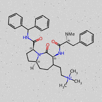 CN[C@H](Cc1ccccc1)C(=O)N[C@@H]1C(=O)N2[C@@H](CCC1CC[N+](C)(C)C)CC[C@H]2C(=O)NC(c1ccccc1)c1ccccc1